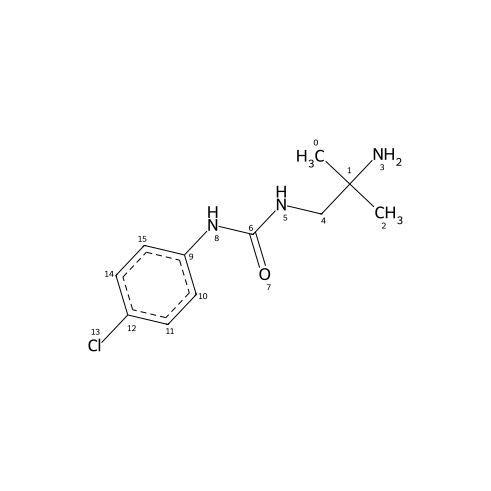 CC(C)(N)CNC(=O)Nc1ccc(Cl)cc1